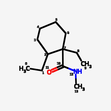 CCC1CCCCC1(CC)C(=O)NC